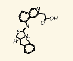 O=C(O)Cc1cc2c(N=C3SC[C@@H]4Cc5ccccc5CN34)cccc2cn1